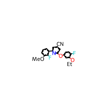 CCOc1cc(Oc2cc(C#N)cc(-c3cccc(OC)c3F)n2)ccc1F